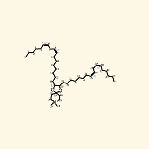 CCCCC/C=C\C/C=C\CCCCCCCC1OC2(CC[N+](C)(C)CC2)OC1CCCCCCC/C=C\C/C=C\CCCCC